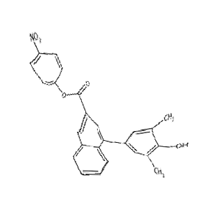 Cc1cc(-c2cc(C(=O)Oc3ccc([N+](=O)[O-])cc3)cc3ccccc23)cc(C)c1O